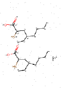 CCCCC(CC)CC(S)C(=O)[O-].CCCCC(CC)CC(S)C(=O)[O-].[Sn+2]